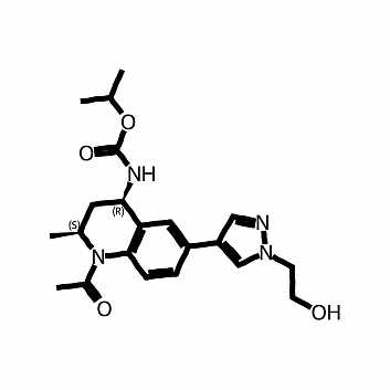 CC(=O)N1c2ccc(-c3cnn(CCO)c3)cc2[C@H](NC(=O)OC(C)C)C[C@@H]1C